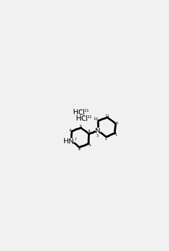 C1CCN(C2CCNCC2)CC1.Cl.Cl